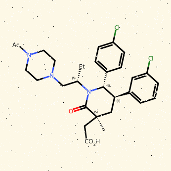 CC[C@@H](CN1CCN(C(C)=O)CC1)N1C(=O)[C@](C)(CC(=O)O)C[C@H](c2cccc(Cl)c2)[C@H]1c1ccc(Cl)cc1